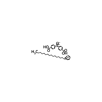 CCCCCCCCCCCCCCCC[n+]1ccccc1.O=C(O)c1ccc([S+]([O-])c2ccc(C(=O)O)cc2)cc1